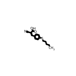 CCCCCSc1ccc(C=C(C#N)C(=O)O)cc1